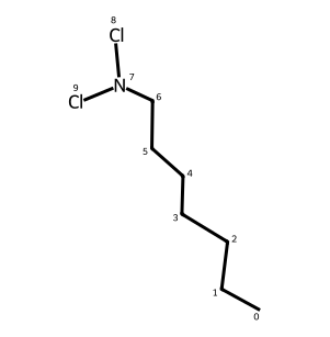 CCCCCCCN(Cl)Cl